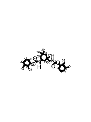 Cc1cccc(OC(=O)NCC2(C)CC(NC(=O)Oc3cccc(C)c3C)CC(C)(C)C2)c1C